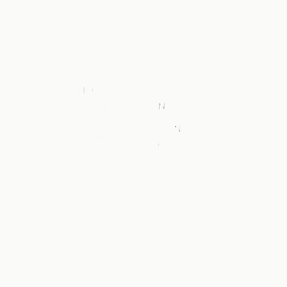 O=NN1CCC[C@]1(C(=O)O)C(=O)CCCS